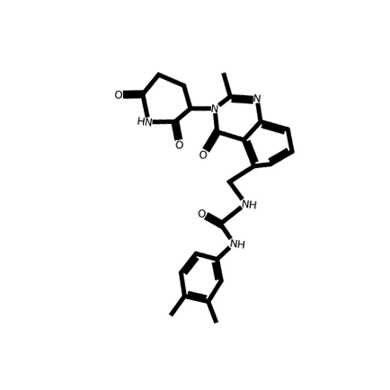 Cc1ccc(NC(=O)NCc2cccc3nc(C)n(C4CCC(=O)NC4=O)c(=O)c23)cc1C